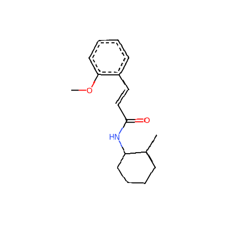 COc1ccccc1/C=C/C(=O)NC1CCCCC1C